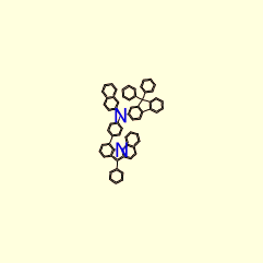 c1ccc(-c2c3cccc(-c4ccc(N(c5ccc6c(c5)C(c5ccccc5)(c5ccccc5)c5ccccc5-6)c5ccc6ccccc6c5)cc4)c3n3c2ccc2ccccc23)cc1